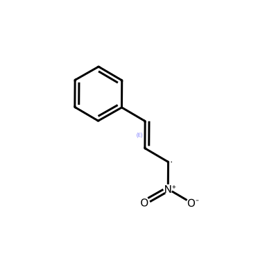 O=[N+]([O-])[CH]/C=C/c1ccccc1